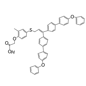 Cc1cc(SCC=C(c2ccc(-c3ccc(Oc4ccccc4)cc3)cc2)c2ccc(-c3ccc(Oc4ccccc4)cc3)cc2)ccc1OCC(=O)O